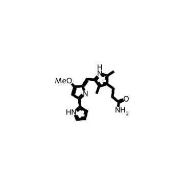 COC1=CC(c2ccc[nH]2)=N/C1=C\c1[nH]c(C)c(CCC(N)=O)c1C